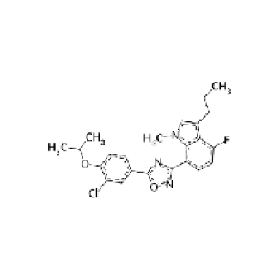 CCCc1cn(C)c2c(-c3noc(-c4ccc(OC(C)C)c(Cl)c4)n3)ccc(F)c12